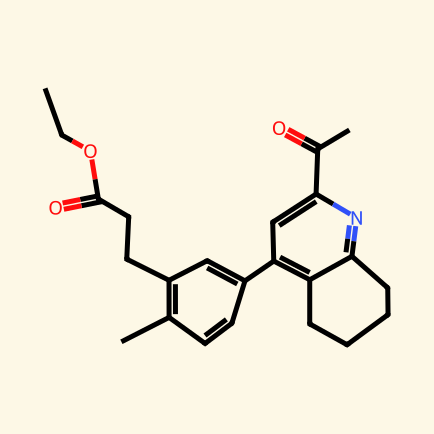 CCOC(=O)CCc1cc(-c2cc(C(C)=O)nc3c2CCCC3)ccc1C